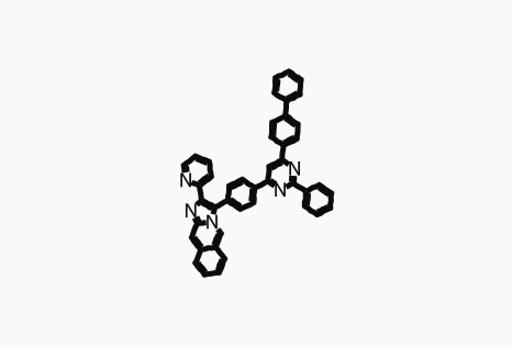 c1ccc(-c2ccc(-c3cc(-c4ccc(-c5c(-c6ccccn6)nc6cc7ccccc7cn56)cc4)nc(-c4ccccc4)n3)cc2)cc1